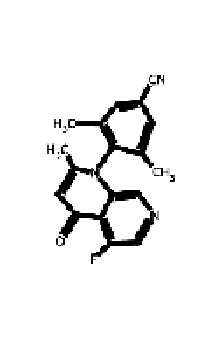 Cc1cc(C#N)cc(C)c1-n1c(C)cc(=O)c2c(F)cncc21